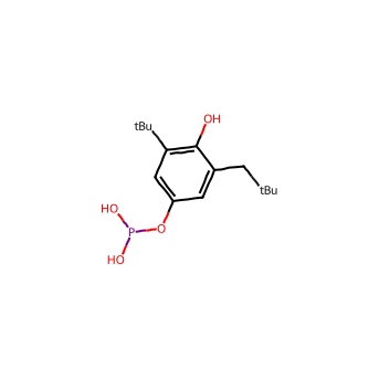 CC(C)(C)Cc1cc(OP(O)O)cc(C(C)(C)C)c1O